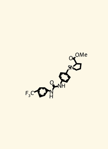 COC(=O)C1CCCN1Sc1ccc(NC(=O)Nc2ccc(C(F)(F)F)cc2)cc1